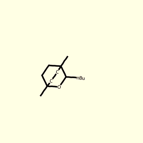 CCCCC1OC2(C)CCC1(C)CC2